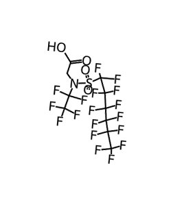 O=C(O)CN(C(F)(F)C(F)(F)F)S(=O)(=O)C(F)(F)C(F)(F)C(F)(F)C(F)(F)C(F)(F)C(F)(F)F